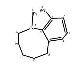 CC(C)c1cccc2c1N(C(C)C)CCCCC2